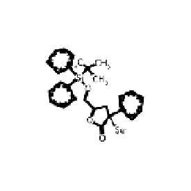 CC(C)(C)[Si](OCC1C[C@]([Se])(c2ccccc2)C(=O)O1)(c1ccccc1)c1ccccc1